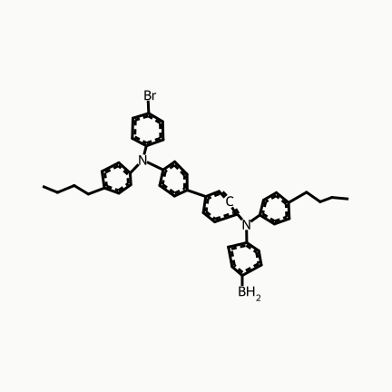 Bc1ccc(N(c2ccc(CCCC)cc2)c2ccc(-c3ccc(N(c4ccc(Br)cc4)c4ccc(CCCC)cc4)cc3)cc2)cc1